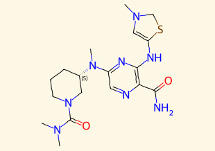 CN1C=C(Nc2nc(N(C)[C@H]3CCCN(C(=O)N(C)C)C3)cnc2C(N)=O)SC1